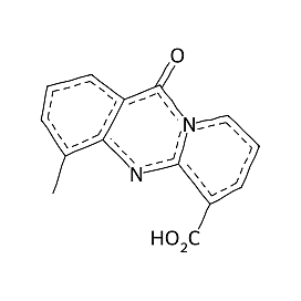 Cc1cccc2c(=O)n3cccc(C(=O)O)c3nc12